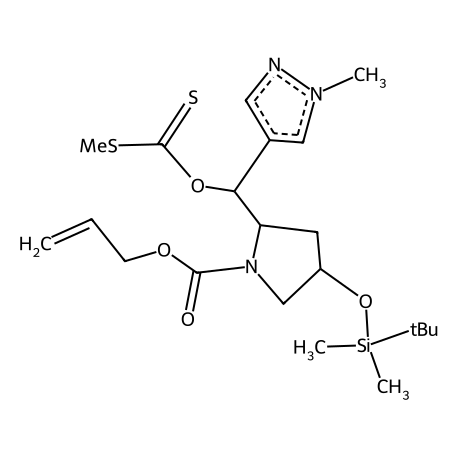 C=CCOC(=O)N1CC(O[Si](C)(C)C(C)(C)C)CC1C(OC(=S)SC)c1cnn(C)c1